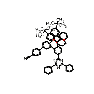 CC(C)(C)c1ccc2c(c1)c1ccccc1n2-c1ccc(-c2ccc(C#N)cc2)cc1-c1cc(-c2nc(-c3ccccc3)nc(-c3ccccc3)n2)ccc1-n1c2ccccc2c2cc(C(C)(C)C)ccc21